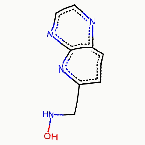 ONCc1ccc2nccnc2n1